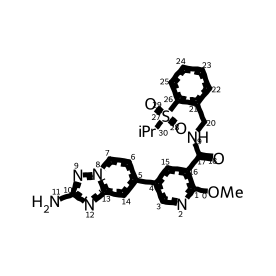 COc1ncc(-c2ccn3nc(N)nc3c2)cc1C(=O)NCc1ccccc1S(=O)(=O)C(C)C